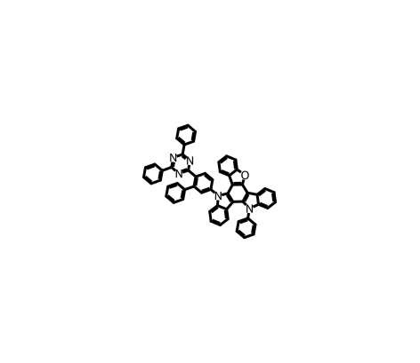 c1ccc(-c2nc(-c3ccccc3)nc(-c3ccc(-n4c5ccccc5c5c6c(c7ccccc7n6-c6ccccc6)c6oc7ccccc7c6c54)cc3-c3ccccc3)n2)cc1